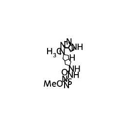 COc1nsc(NC(=O)N[C@@H]2CC3C[C@H](N(C)c4ncnc5[nH]ccc45)C[C@H]3C2)n1